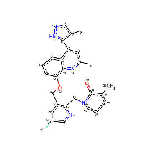 Cc1cc(-c2[nH]ncc2C)c2cccc(OCc3cc(F)cnc3Cn3cccc(C(F)(F)F)c3=O)c2n1